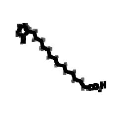 O=C(O)CCCCCCCCCCCCCCc1nnn[nH]1